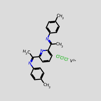 CC(=Nc1ccc(C)cc1)c1cccc(C(C)=Nc2ccc(C)cc2)n1.[Cl-].[Cl-].[Cl-].[V+3]